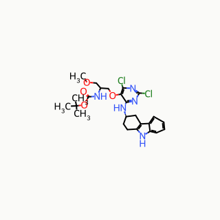 COCC(COc1c(Cl)nc(Cl)nc1N[C@@H]1CCc2[nH]c3ccccc3c2C1)NC(=O)OC(C)(C)C